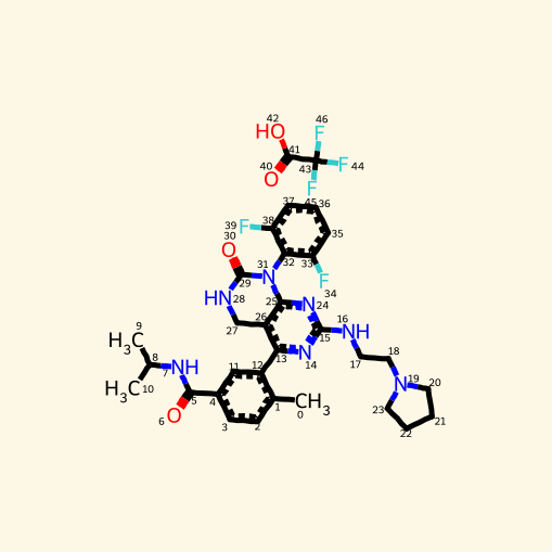 Cc1ccc(C(=O)NC(C)C)cc1-c1nc(NCCN2CCCC2)nc2c1CNC(=O)N2c1c(F)cccc1F.O=C(O)C(F)(F)F